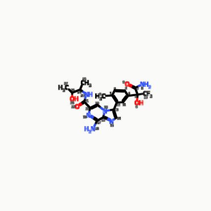 Cc1ccc(C(O)(C(N)=O)C(F)(F)F)cc1-c1cnc2c(N)nc(C(=O)NC(C)C(C)O)cn12